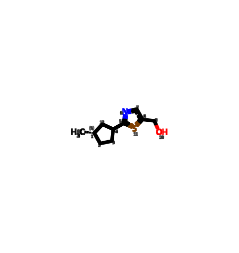 C[C@H]1CCC(c2ncc(CO)s2)C1